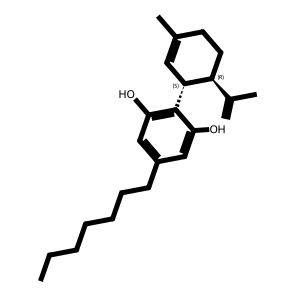 C=C(C)[C@@H]1CCC(C)=C[C@H]1c1c(O)cc(CCCCCCC)cc1O